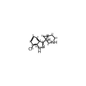 Clc1cccc2c(C34CNCC[C@@H]3C4)n[nH]c12